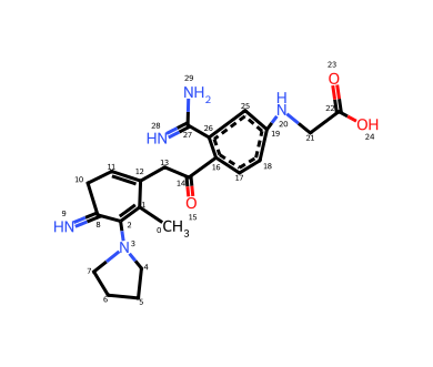 CC1=C(N2CCCC2)C(=N)CC=C1CC(=O)c1ccc(NCC(=O)O)cc1C(=N)N